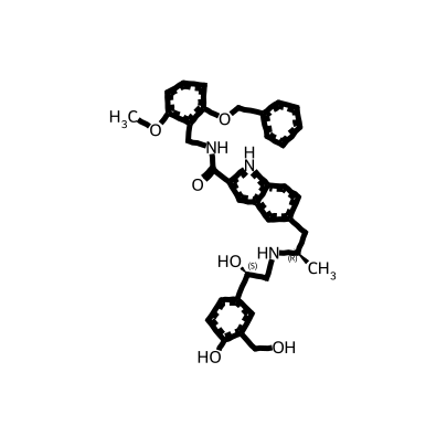 COc1cccc(OCc2ccccc2)c1CNC(=O)c1cc2cc(C[C@@H](C)NC[C@@H](O)c3ccc(O)c(CO)c3)ccc2[nH]1